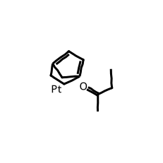 C1=C2CCC(=C1)C2.CCC(C)=O.[Pt]